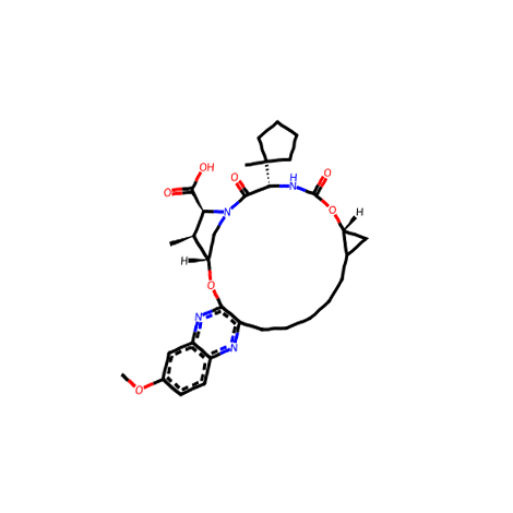 COc1ccc2nc3c(nc2c1)O[C@H]1CN(C(=O)[C@H](C2(C)CCCC2)NC(=O)O[C@@H]2CC2CCCCC3)[C@H](C(=O)O)[C@@H]1C